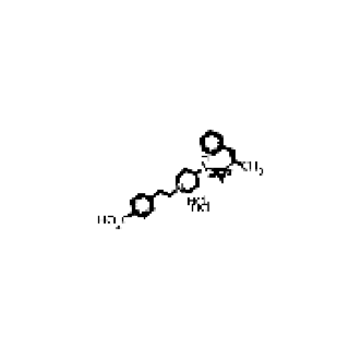 CC(=Cc1ccccc1)[C@@H]1C[C@H]1NC1CCN(CCc2ccc(C(=O)O)cc2)CC1.Cl.Cl